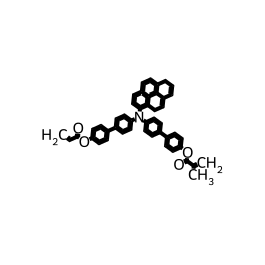 C=CC(=O)Oc1ccc(-c2ccc(N(c3ccc(-c4ccc(OC(=O)C(=C)C)cc4)cc3)c3ccc4ccc5c6c4c3CC=C6C=CC5)cc2)cc1